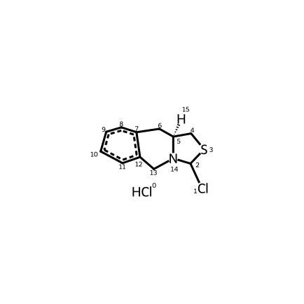 Cl.ClC1SC[C@@H]2Cc3ccccc3CN12